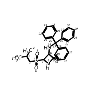 CC(C)CS(=O)(=O)C1NC(=O)C1NC(c1ccccc1)(c1ccccc1)c1ccccc1